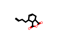 C=CCCC1C=CCC2C(=O)OC(=O)C12